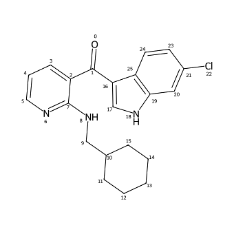 O=C(c1cccnc1NCC1CCCCC1)c1c[nH]c2cc(Cl)ccc12